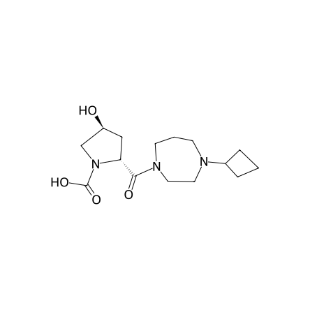 O=C([C@H]1C[C@H](O)CN1C(=O)O)N1CCCN(C2CCC2)CC1